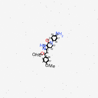 COc1ccc(C(Cc2n[nH]c3c2CCN(c2ccc(N)cc2)C3=O)OC=O)cc1